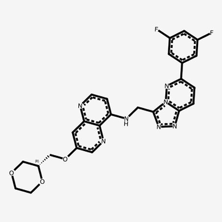 Fc1cc(F)cc(-c2ccc3nnc(CNc4ccnc5cc(OC[C@H]6COCCO6)cnc45)n3n2)c1